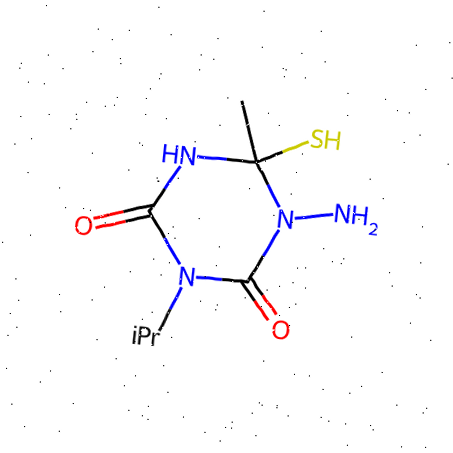 CC(C)N1C(=O)NC(C)(S)N(N)C1=O